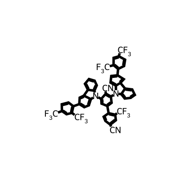 N#Cc1ccc(-c2cc(-n3c4ccccc4c4cc(-c5ccc(C(F)(F)F)cc5C(F)(F)F)ccc43)c(C#N)c(-n3c4ccccc4c4cc(-c5ccc(C(F)(F)F)cc5C(F)(F)F)ccc43)c2)c(C(F)(F)F)c1